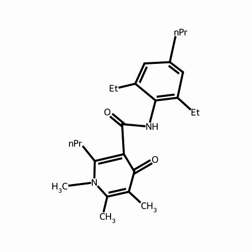 CCCc1cc(CC)c(NC(=O)c2c(CCC)n(C)c(C)c(C)c2=O)c(CC)c1